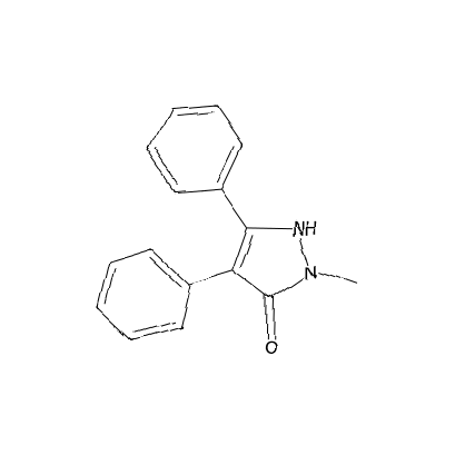 Cn1[nH]c(-c2ccccc2)c(-c2ccccc2)c1=O